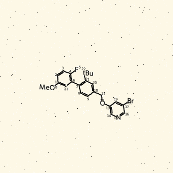 COc1ccc(F)c(-c2ccc(COc3cncc(Br)c3)cc2C(C)(C)C)c1